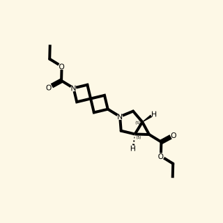 CCOC(=O)C1[C@H]2CN(C3CC4(C3)CN(C(=O)OCC)C4)C[C@H]12